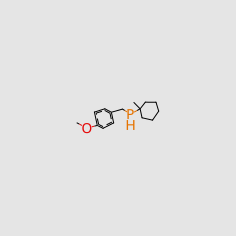 COc1ccc(CPC2(C)CCCCC2)cc1